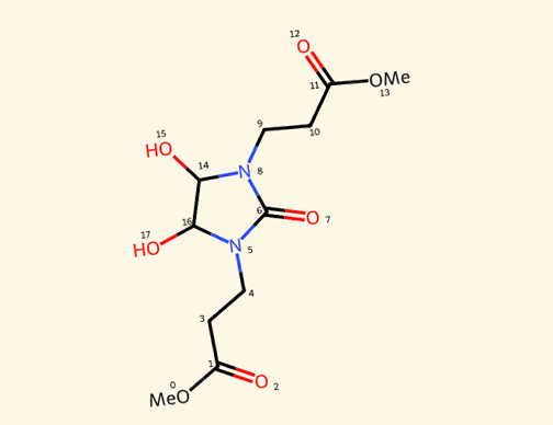 COC(=O)CCN1C(=O)N(CCC(=O)OC)C(O)C1O